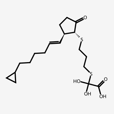 O=C1CC[C@H](/C=C/CCCCC2CC2)[C@H]1SCCCSC(O)(O)C(=O)O